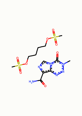 CS(=O)(=O)OCCCCOS(C)(=O)=O.Cn1nnc2c(C(N)=O)ncn2c1=O